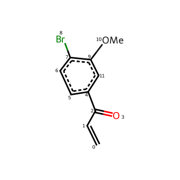 C=CC(=O)c1ccc(Br)c(OC)c1